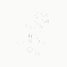 CCN1CNC(N)C2NCN([C@@H]3O[C@H](CN(C)CCN[C@@H](C)c4cccc(OC)c4)[C@@H](O)[C@H]3O)C21